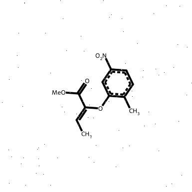 C/C=C(\Oc1cc([N+](=O)[O-])ccc1C)C(=O)OC